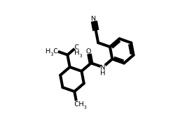 CC1CCC(C(C)C)C(C(=O)Nc2ccccc2CC#N)C1